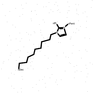 CCCCCCCCCCCCCCCCCCCn1cc[n+](CCCCC)c1CCC